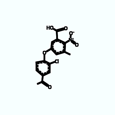 CC(=O)c1ccc(Oc2cc(C)c([N+](=O)[O-])c(C(=O)O)c2)c(Cl)c1